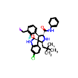 CC(C)(C)C[C@@H]1N[C@@H](C(=O)Nc2ccccc2)[C@H](c2cccc(CI)c2F)[C@]12C(=O)Nc1cc(Cl)ccc12